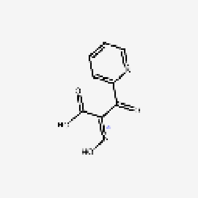 O=C(O)/C(=N\O)C(=O)c1ccccn1